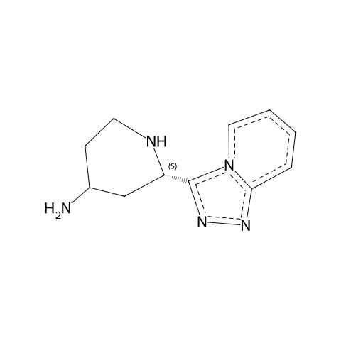 NC1CCN[C@H](c2nnc3ccccn23)C1